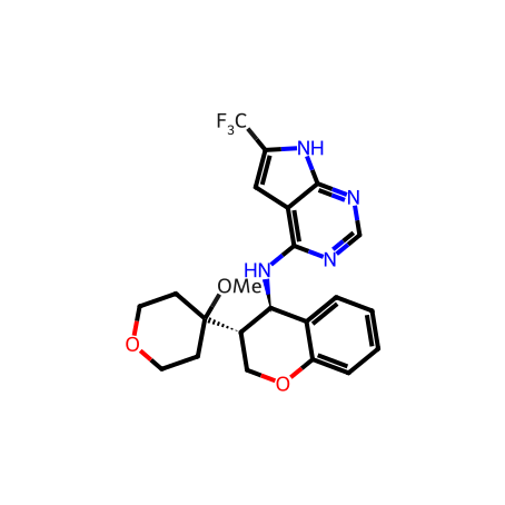 COC1([C@H]2COc3ccccc3[C@@H]2Nc2ncnc3[nH]c(C(F)(F)F)cc23)CCOCC1